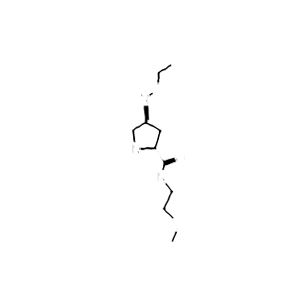 CCO/N=C1/CN[C@H](C(=O)NCCOC)C1